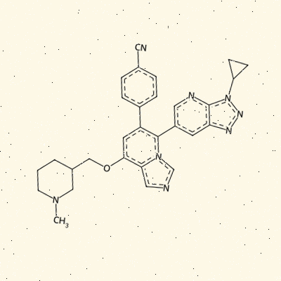 CN1CCCC(COc2cc(-c3ccc(C#N)cc3)c(-c3cnc4c(c3)nnn4C3CC3)n3cncc23)C1